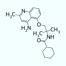 Cc1cc(N)c2c(OCC(C)(C)NC(=O)C3CCCCC3)cccc2n1